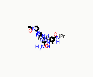 C=CC(=O)N1CCC[C@@H](n2cc(Nc3ncc(C(N)=O)c(Nc4c(C)cc(C(=O)NC(C)C)cc4OC)n3)cn2)C1